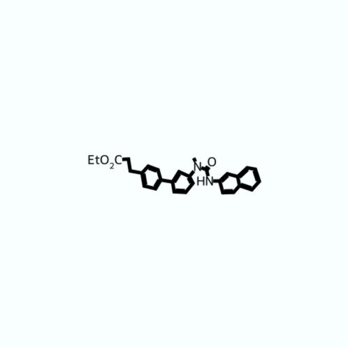 CCOC(=O)CCc1ccc(-c2cccc(N(C)C(=O)Nc3ccc4ccccc4c3)c2)cc1